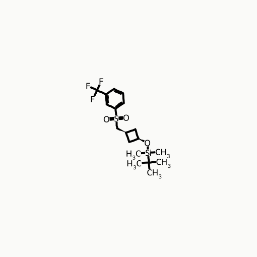 CC(C)(C)[Si](C)(C)O[C@H]1C[C@@H](CS(=O)(=O)c2cccc(C(F)(F)F)c2)C1